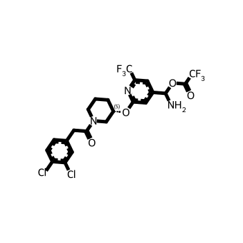 NC(OC(=O)C(F)(F)F)c1cc(O[C@H]2CCCN(C(=O)Cc3ccc(Cl)c(Cl)c3)C2)nc(C(F)(F)F)c1